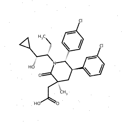 CC[C@@H]([C@H](O)C1CC1)N1C(=O)[C@](C)(CC(=O)O)C[C@H](c2cccc(Cl)c2)[C@H]1c1ccc(Cl)cc1